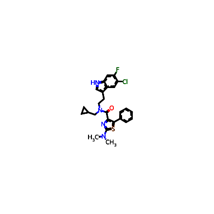 CN(C)c1nc(C(=O)N(CCc2c[nH]c3cc(F)c(Cl)cc23)CC2CC2)c(-c2ccccc2)s1